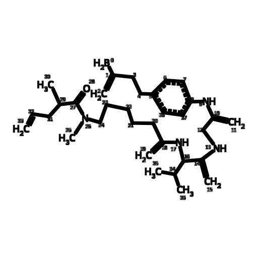 BC(=C)CCc1ccc(NC(=C)CNC(=C)C(NC(=C)CCCCCN(C)C(=O)C(C)CC=C)C(C)C)cc1